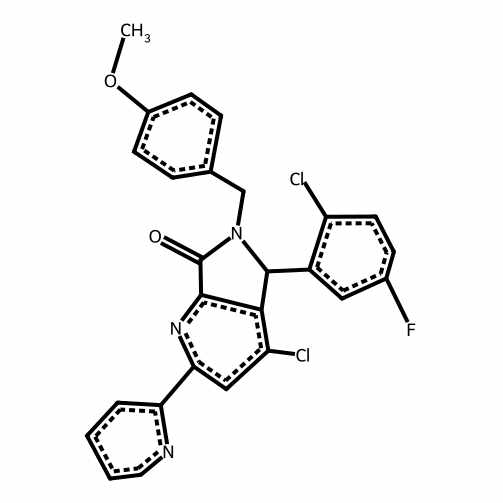 COc1ccc(CN2C(=O)c3nc(-c4ccccn4)cc(Cl)c3C2c2cc(F)ccc2Cl)cc1